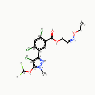 CCO/N=C\COC(=O)c1cc(-c2nn(C)c(OC(F)F)c2Cl)c(Cl)cc1Cl